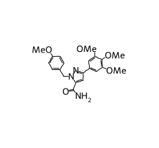 COc1ccc(Cn2nc(-c3cc(OC)c(OC)c(OC)c3)cc2C(N)=O)cc1